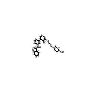 OC1CCN(CCCOc2cccc(-c3cccc(Nc4nsc5ccccc45)c3)c2Cl)CC1